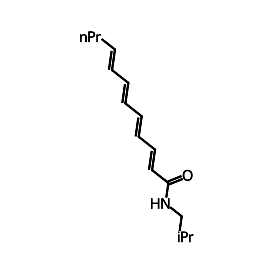 CCCC=CC=CC=CC=CC(=O)NCC(C)C